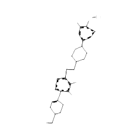 CCOc1ccc(C2CCC(CCc3ccc(C4=CCC(CO)CC4)c(F)c3F)CC2)cc1F